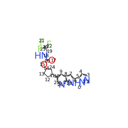 Cn1nccc1-c1cc2cc([C@H]3CC[C@@H](OC(=O)NCC(F)(F)F)C3)cnc2[nH]1